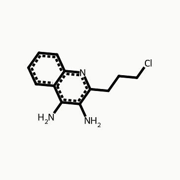 Nc1c(CCCCl)nc2ccccc2c1N